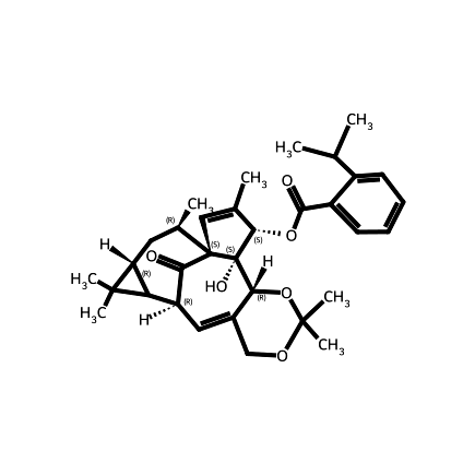 CC1=C[C@]23C(=O)[C@@H](C=C4COC(C)(C)O[C@H]4[C@]2(O)[C@H]1OC(=O)c1ccccc1C(C)C)C1[C@@H](C[C@H]3C)C1(C)C